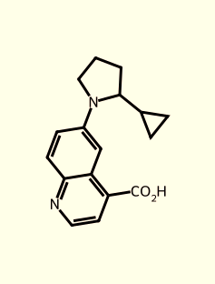 O=C(O)c1ccnc2ccc(N3CCCC3C3CC3)cc12